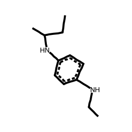 CCNc1ccc(NC(C)CC)cc1